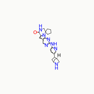 O=C1NCC2(CCCC2)n2c1cc1cnc(Nc3ccc(C4CC5C[C@@H]4CN5)cn3)nc12